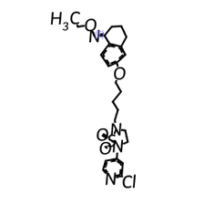 CCO/N=C1\CCCc2cc(OCCCCCN3CCN(c4ccnc(Cl)c4)S3(=O)=O)ccc21